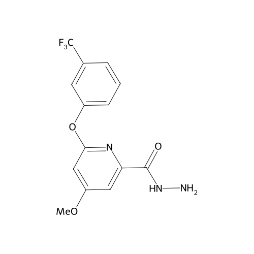 COc1cc(Oc2cccc(C(F)(F)F)c2)nc(C(=O)NN)c1